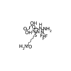 NC(=O)CCCCCSc1nccc(NC(N)=NCC(F)(F)F)n1.O=C(O)C=CC(=O)O